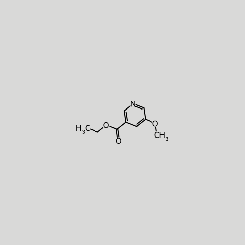 CCOC(=O)c1cncc(OC)c1